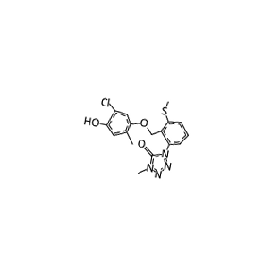 CSc1cccc(-n2nnn(C)c2=O)c1COc1cc(Cl)c(O)cc1C